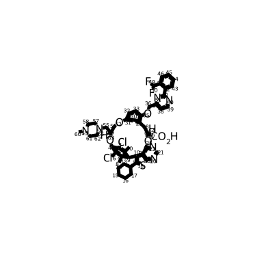 Cc1c(Cl)c2c(Cl)c(C)c1-c1c(C3CCCCC3)sc3ncnc(c13)O[C@@H](C(=O)O)Cc1cc(ccc1OCc1ccnc(-c3ccccc3C(F)F)n1)OC[C@@H](CN1CCN(C)CC1)O2